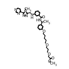 COC(=O)COCCCOCCCCCOc1cccc([C@H](C)NC(=O)c2cccc(NCc3nnc(-c4ccncn4)n3C)c2)c1